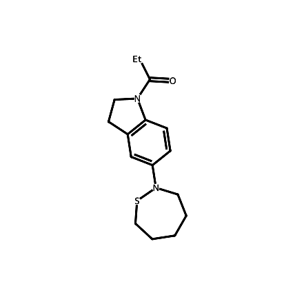 CCC(=O)N1CCc2cc(N3CCCCCS3)ccc21